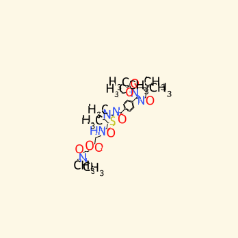 CCN(CC)C(=O)COC(=O)CCNC(=O)C1SC(=NC(=O)c2ccc(C3=NC(=O)C4C(C(=O)N3OC(C)(C)C)C4(C)C)cc2)N(C)C1C